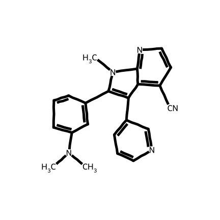 CN(C)c1cccc(-c2c(-c3cccnc3)c3c(C#N)ccnc3n2C)c1